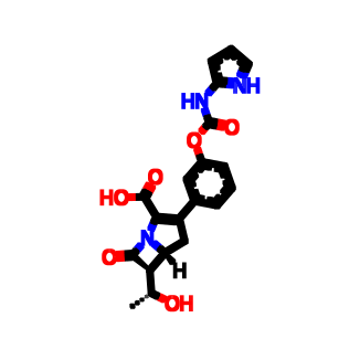 C[C@@H](O)[C@H]1C(=O)N2C(C(=O)O)=C(c3cccc(OC(=O)Nc4ccc[nH]4)c3)C[C@H]12